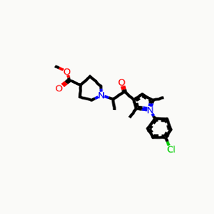 COC(=O)C1CCN(C(C)C(=O)c2cc(C)n(-c3ccc(Cl)cc3)c2C)CC1